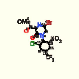 COC(=O)c1nc(Br)cn(-c2c(Cl)cc(C(F)(F)F)cc2[N+](=O)[O-])c1=O